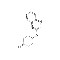 O=C1CCC(Sc2cnc3ccccc3n2)CC1